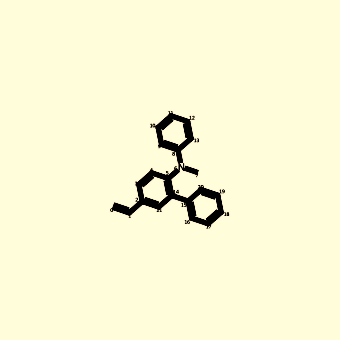 C=Cc1ccc(N(C)c2ccccc2)c(-c2ccccc2)c1